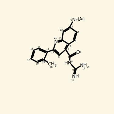 CC(=O)Nc1ccc2c(C(=O)NC(=N)N)cc(-c3ccccc3C)nc2c1